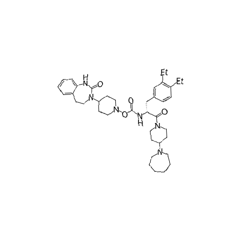 CCc1ccc(C[C@@H](NC(=O)ON2CCC(N3CCc4ccccc4NC3=O)CC2)C(=O)N2CCC(N3CCCCCC3)CC2)cc1CC